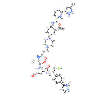 CCc1cc(-c2cccc(C(=O)Nc3ccc(N4CCN(CCC(=O)N[C@H](C(=O)N5C[C@H](O)C[C@H]5C(=O)N[C@@H](CF)c5ccc(-c6ccnn6C)cc5)C(C)(C)C)CC4)cc3OC)n2)[nH]n1